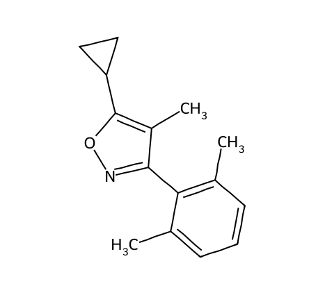 Cc1cccc(C)c1-c1noc(C2CC2)c1C